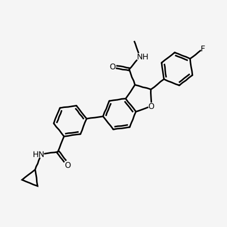 CNC(=O)C1c2cc(-c3cccc(C(=O)NC4CC4)c3)ccc2OC1c1ccc(F)cc1